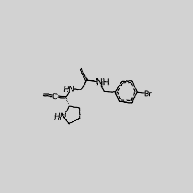 C=C=C(NCC(=C)NCc1ccc(Br)cc1)[C@@H]1CCCN1